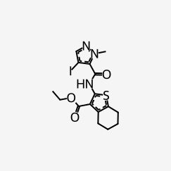 CCOC(=O)c1c(NC(=O)c2c(I)cnn2C)sc2c1CCCC2